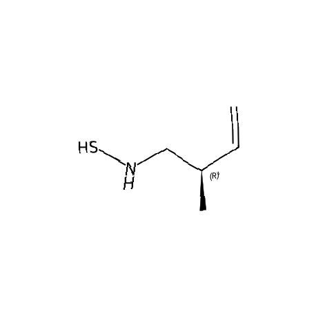 C=C[C@@H](C)CNS